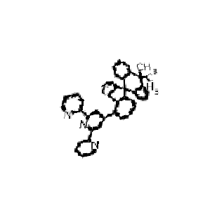 CC1(C)c2ccccc2C2(c3ccccc3-c3c(-c4cc(-c5ccccn5)nc(-c5ccccn5)c4)cccc32)c2ccccc21